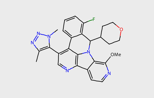 COc1nccc2c3ncc(-c4c(C)nnn4C)c4c3n(c12)C(C1CCOCC1)c1c(F)cccc1-4